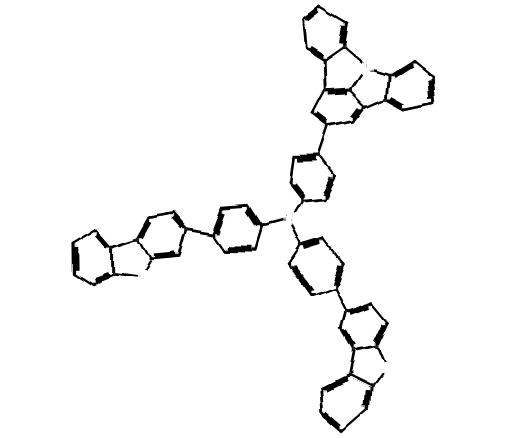 c1ccc2c(c1)oc1cc(-c3ccc(N(c4ccc(-c5ccc6sc7ccccc7c6c5)cc4)c4ccc(-c5cc6c7ccccc7n7c8ccccc8c(c5)c67)cc4)cc3)ccc12